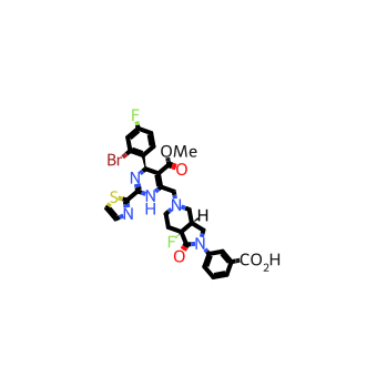 COC(=O)C1=C(CN2CC[C@]3(F)C(=O)N(c4cccc(C(=O)O)c4)C[C@@H]3C2)NC(c2nccs2)=N[C@H]1c1ccc(F)cc1Br